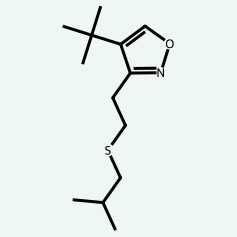 CC(C)CSCCc1nocc1C(C)(C)C